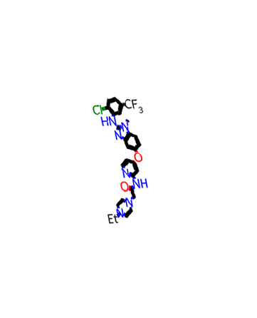 CCN1CCN(CC(=O)Nc2cc(Oc3ccc4c(c3)nc(Nc3cc(C(F)(F)F)ccc3Cl)n4C)ccn2)CC1